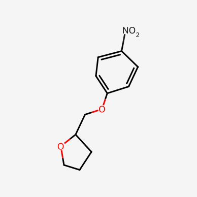 O=[N+]([O-])c1ccc(OCC2CCCO2)cc1